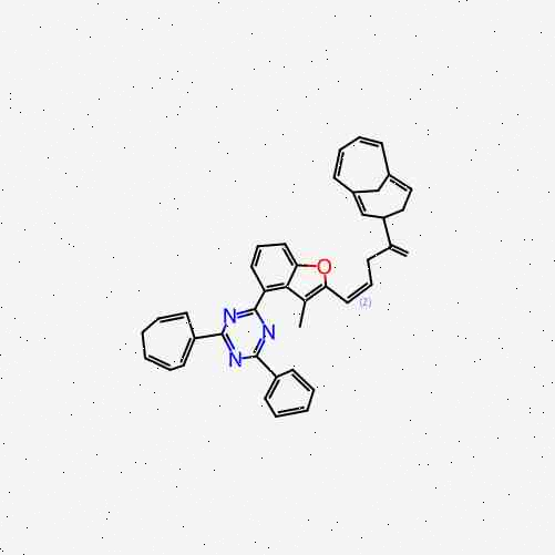 C=C(C/C=C\c1oc2cccc(-c3nc(C4=CC=CCC=C4)nc(-c4ccccc4)n3)c2c1C)C1C=C2C=CC=CC(=CC1)C2